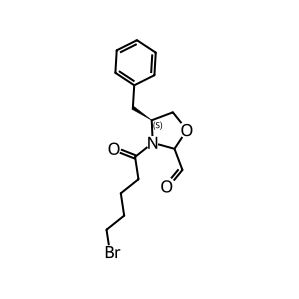 O=CC1OC[C@H](Cc2ccccc2)N1C(=O)CCCCBr